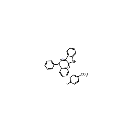 O=C(O)c1ccc(F)cc1.O=C1Nc2ccccc2/C1=N/N(c1ccccc1)c1ccccc1